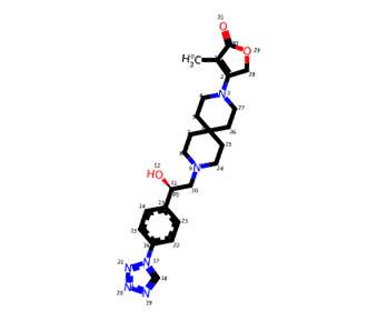 CC1=C(N2CCC3(CCN(C[C@H](O)c4ccc(-n5cnnn5)cc4)CC3)CC2)COC1=O